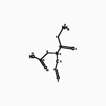 NCC(=O)N(CC=O)CC(=O)O